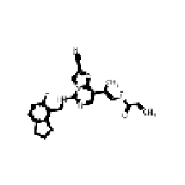 C=CC(=O)N/C=C(\C)c1cnc(NCc2c(F)ccc3c2CCC3)n2cc(C#N)nc12